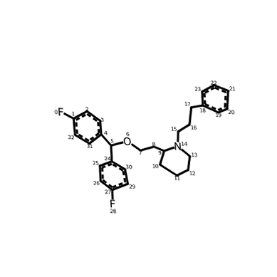 Fc1ccc(C(OCCC2CCCCN2CCCc2ccccc2)c2ccc(F)cc2)cc1